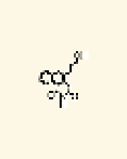 O=C1Cc2c(CCCO)cc3ccccc3c2C(=O)N1